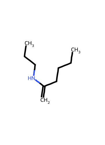 C=C(CCCC)NCCC